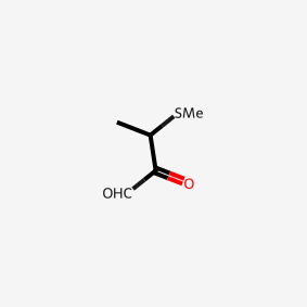 CSC(C)C(=O)C=O